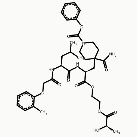 Cc1ccccc1OCC(=O)N[C@@H](CC(C)C)C(=O)N[C@@H](CC1(C(N)=O)CCN(C(=O)Oc2ccccc2)CC1)C(=O)OCCOC(=O)[C@@H](C)O